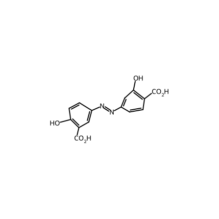 O=C(O)c1ccc(/N=N/c2ccc(O)c(C(=O)O)c2)cc1O